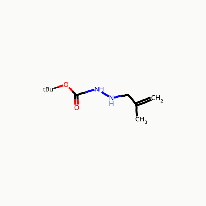 C=C(C)CNNC(=O)OC(C)(C)C